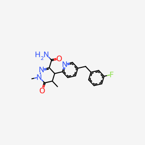 CC1C(=O)N(C)N=C(C(N)=O)C1c1ccc(Cc2cccc(F)c2)cn1